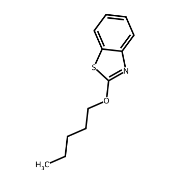 CCCCCOc1nc2ccccc2s1